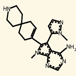 Cn1nccc1-c1c(C2=CCC3(CCNCC3)CC2)n(C)c2ncnc(N)c12